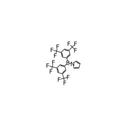 FC(F)(F)c1cc(B(c2cc(C(F)(F)F)cc(C(F)(F)F)c2)n2cccc2)cc(C(F)(F)F)c1